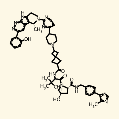 Cc1ncsc1-c1ccc(CNC(=O)[C@@H]2C[C@@H](O)CN2C(=O)C(NC(=O)C2CC3(C2)CC(N2CCC(c4ccnc(N5CCc6[nH]c7nnc(-c8ccccc8O)cc7c6[C@H]5C)n4)CC2)C3)C(C)(C)C)cc1